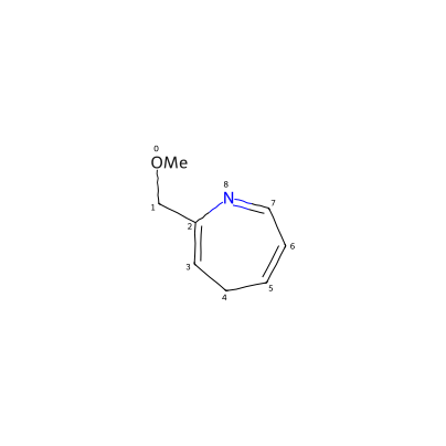 COCC1=CCC=CC=N1